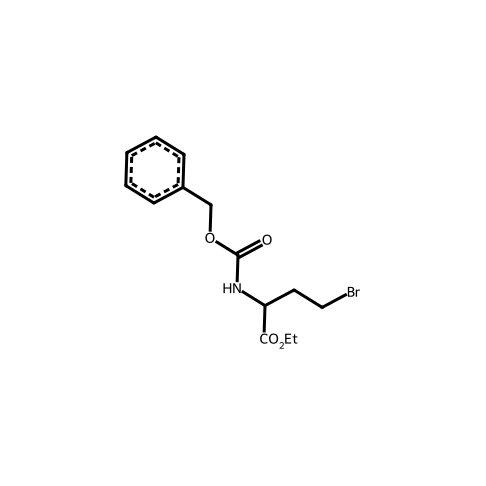 CCOC(=O)C(CCBr)NC(=O)OCc1ccccc1